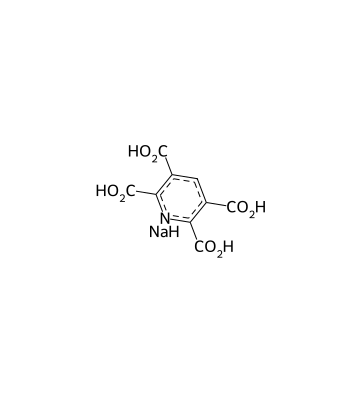 O=C(O)c1cc(C(=O)O)c(C(=O)O)nc1C(=O)O.[NaH]